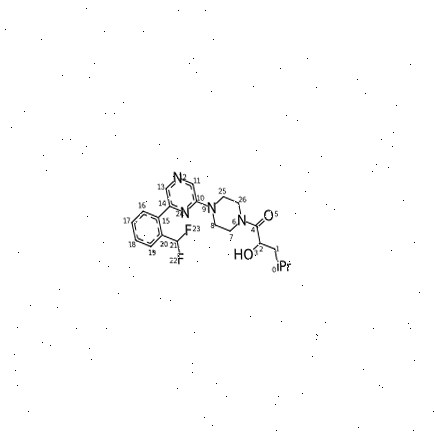 CC(C)CC(O)C(=O)N1CCN(c2cncc(-c3ccccc3C(F)F)n2)CC1